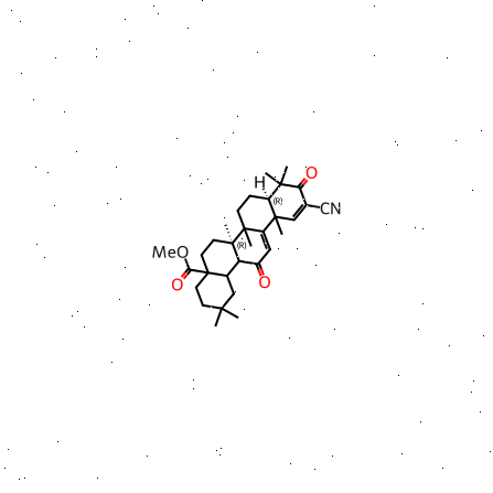 COC(=O)C12CCC(C)(C)CC1C1C(=O)C=C3C4(C)C=C(C#N)C(=O)C(C)(C)[C@@H]4CCC3(C)[C@]1(C)CC2